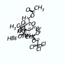 Br.CC(=O)OC[C@H]1O[C@H](Br)[C@H](NC(=O)OCC(Cl)(Cl)Cl)[C@](O)(C(C)=O)[C@@]1(O)C(C)=O